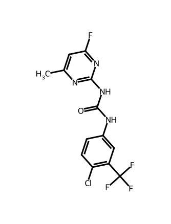 Cc1cc(F)nc(NC(=O)Nc2ccc(Cl)c(C(F)(F)F)c2)n1